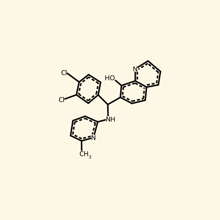 Cc1cccc(NC(c2ccc(Cl)c(Cl)c2)c2ccc3cccnc3c2O)n1